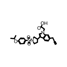 C#CCc1ccc2c(C3CCN(S(=O)(=O)c4ccc(OC(C)C)cc4)C3)cn(CC(=O)O)c2c1